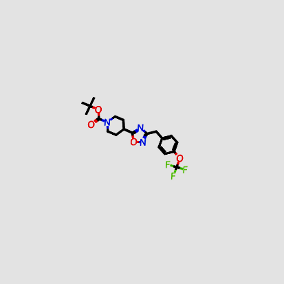 CC(C)(C)OC(=O)N1CCC(c2nc(Cc3ccc(OC(F)(F)F)cc3)no2)CC1